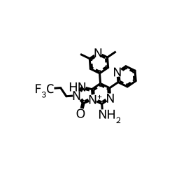 Cc1cc(-c2c(-c3ccccn3)nc(N)[n+]3c(=O)n(CCC(F)(F)F)[nH]c23)cc(C)n1